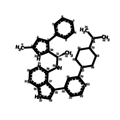 Cc1cc(-c2ccccc2)c([C@H](C)Nc2ncnc3[nH]cc(-c4ccnc(N5CCC(N(C)C)CC5)c4)c23)[nH]1